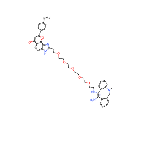 CNc1ccc(-c2cc(=O)c3ccc4[nH]c(CCOCCOCCOCCOCCOCCN/C5=C(\N)c6ccccc6CN(C)c6ccccc65)nc4c3o2)cc1